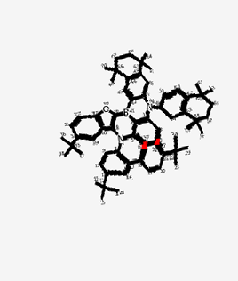 Cc1cc2c3c(c1)N(c1ccc(C(C)(C)C)cc1-c1ccc(C(C)(C)C)cc1)c1c(oc4ccc(C(C)(C)C)cc14)B3c1cc3c(cc1N2c1ccc2c(c1)C(C)(C)CCC2(C)C)C(C)(C)CCC3(C)C